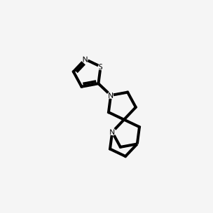 c1cc(N2CCC3(CC4CCN3C4)C2)sn1